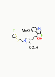 COc1ccc2ncc(F)c([C@H](O)CCC3CCN(CCSc4ccc(F)s4)CC3CC(=O)O)c2c1